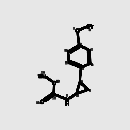 CC(C)Oc1ccc(C2CC2NC(=O)OC(C)(C)C)cc1